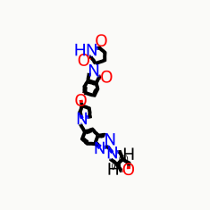 O=C1CCC(N2Cc3cc(OC4CCN(Cc5ccc6nc(N7C[C@H]8COC[C@H]8C7)ncc6c5)C4)ccc3C2=O)C(=O)N1